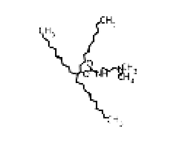 CCCCCC=CCCCC(CCCC=CCCCCC)C(CCCC=CCCCCC)OC(=O)NCCCN(C)C